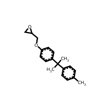 Cc1ccc(C(C)(C)c2ccc(OCC3CO3)cc2)cc1